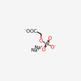 O=C([O-])C[O][W](=[O])(=[O])[O-].[Na+].[Na+]